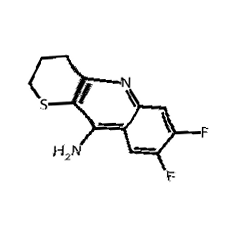 Nc1c2c(nc3cc(F)c(F)cc13)CCCS2